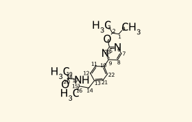 CCC(C)Oc1nccc(-c2ccc(CC(C)NC(C)=O)cc2)n1